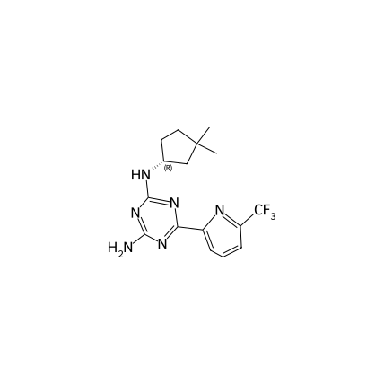 CC1(C)CC[C@@H](Nc2nc(N)nc(-c3cccc(C(F)(F)F)n3)n2)C1